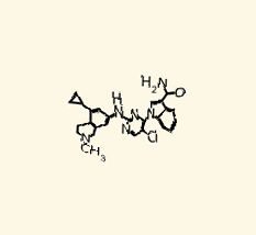 CN1CCc2c(cc(Nc3ncc(Cl)c(-n4cc(C(N)=O)c5ccccc54)n3)cc2C2CC2)C1